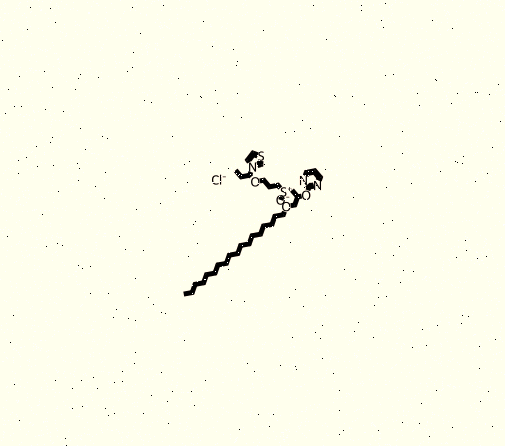 CCCCCCCCCCCCCCCCCCOCC(C[S+]([O-])CCCOC(CC)[n+]1ccsc1)Oc1ncccn1.[Cl-]